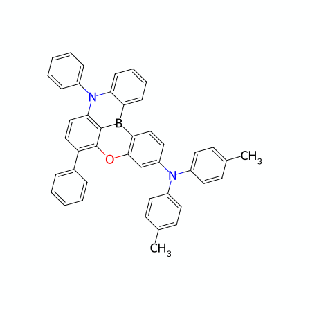 Cc1ccc(N(c2ccc(C)cc2)c2ccc3c(c2)Oc2c(-c4ccccc4)ccc4c2B3c2ccccc2N4c2ccccc2)cc1